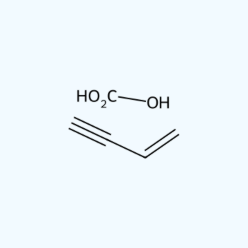 C#CC=C.O=C(O)O